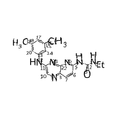 CCNC(=O)Nc1ccc2ncc(Nc3cc(C)cc(C)c3)nc2n1